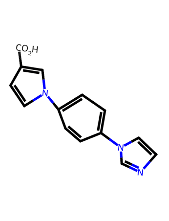 O=C(O)c1ccn(-c2ccc(-n3ccnc3)cc2)c1